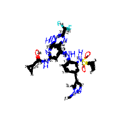 CCS(=O)(=O)Nc1cc(-c2cnn(C)c2)ccc1Nc1cc(NC(=O)C2CC2)nc2[nH]c(C(F)F)nc12